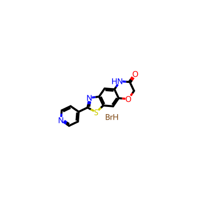 Br.O=C1COc2cc3sc(-c4ccncc4)nc3cc2N1